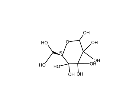 OC(O)[C@H]1OC(O)C(O)(O)C(O)(O)C1(O)O